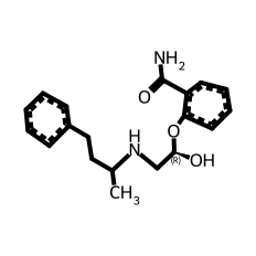 CC(CCc1ccccc1)NC[C@H](O)Oc1ccccc1C(N)=O